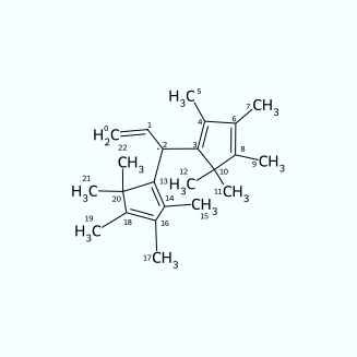 C=C[C](C1=C(C)C(C)=C(C)C1(C)C)C1=C(C)C(C)=C(C)C1(C)C